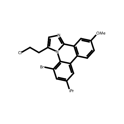 COc1ccc2c(c1)c1ncc(CCCl)n1c1c(Br)cc(C(C)C)cc21